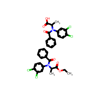 CC(C(=O)O)N(C(=O)c1ccccc1)c1ccc(Cl)c(Cl)c1.CCOC(=O)C(C)N(C(=O)c1ccccc1)c1ccc(Cl)c(Cl)c1